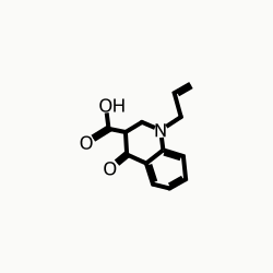 C=CCN1CC(C(=O)O)C(=O)c2ccccc21